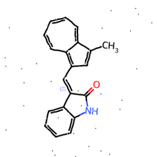 Cc1cc(/C=C2\C(=O)Nc3ccccc32)c2cccccc1-2